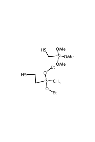 CCO[Si](C)(CCS)OCC.CO[Si](CS)(OC)OC